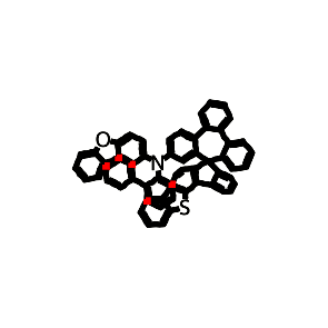 c1ccc(-c2ccccc2N(c2ccc3c(c2)C2(c4ccccc4-c4ccccc4-3)c3ccccc3-c3c2ccc2c3sc3ccccc32)c2ccc3oc4ccccc4c3c2)cc1